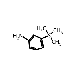 CS(C)(C)c1cccc(N)c1